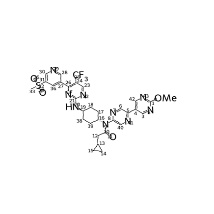 COc1ncc(-c2cnc(N(C(=O)CC3CC3)[C@H]3CC[C@H](Nc4ncc(C(F)(F)F)c(-c5cncc(S(C)(=O)=O)c5)n4)CC3)cn2)cn1